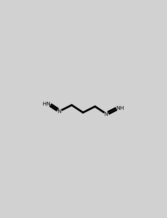 N=NCCCN=N